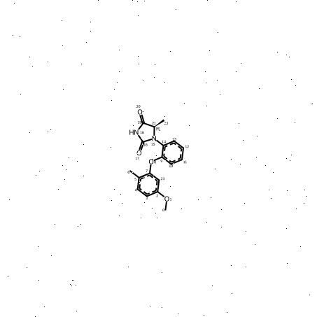 COc1ccc(C)c(Oc2ccccc2N2C(=O)NC(=O)[C@H]2C)c1